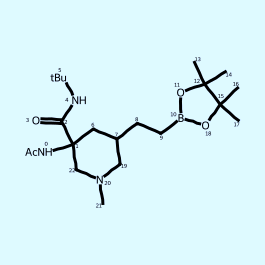 CC(=O)NC1(C(=O)NC(C)(C)C)CC(CCB2OC(C)(C)C(C)(C)O2)CN(C)C1